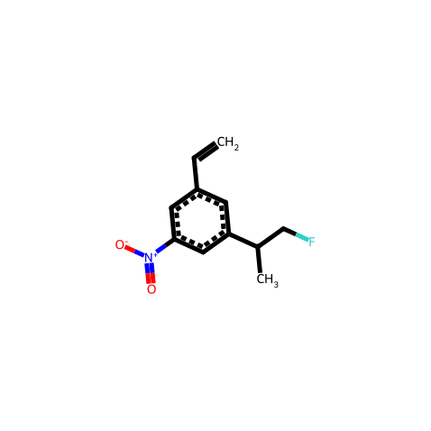 C=Cc1cc([C](C)CF)cc([N+](=O)[O-])c1